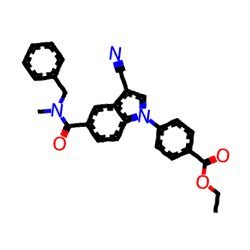 CCOC(=O)c1ccc(-n2cc(C#N)c3cc(C(=O)N(C)Cc4ccccc4)ccc32)cc1